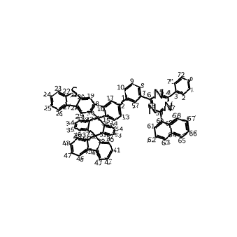 c1ccc(-c2nc(-c3cccc(-c4ccc5c(c4)-c4cc6sc7ccccc7c6cc4C54c5ccccc5C5(c6ccccc6-c6ccccc65)c5ccccc54)c3)nc(-c3cccc4ccccc34)n2)cc1